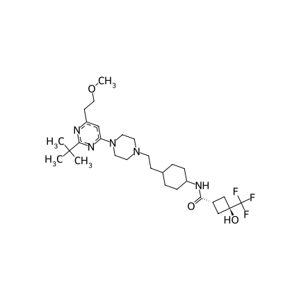 COCCc1cc(N2CCN(CCC3CCC(NC(=O)[C@H]4C[C@@](O)(C(F)(F)F)C4)CC3)CC2)nc(C(C)(C)C)n1